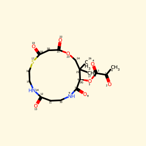 CC(=O)C(=O)O[C@H]1C(=O)NCCC(=O)NCCSC(=O)CC(=O)OCC1(C)C